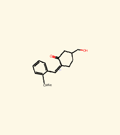 COc1ccccc1/C=C1/CCC(CO)CC1=O